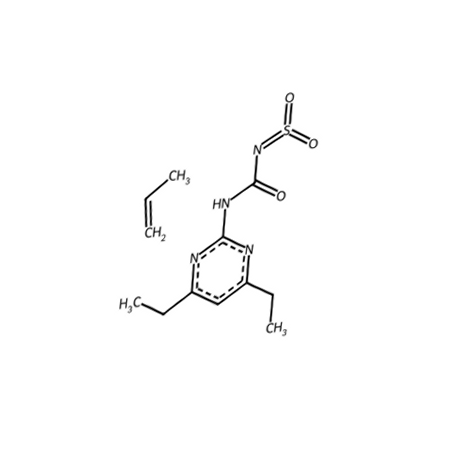 C=CC.CCc1cc(CC)nc(NC(=O)N=S(=O)=O)n1